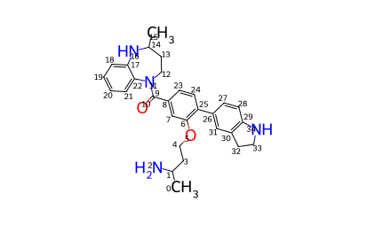 CC(N)CCOc1cc(C(=O)N2CCC(C)Nc3ccccc32)ccc1-c1ccc2c(c1)CCN2